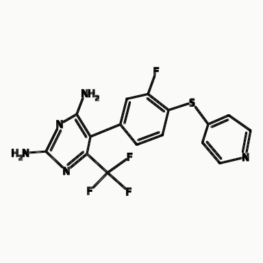 Nc1nc(N)c(-c2ccc(Sc3ccncc3)c(F)c2)c(C(F)(F)F)n1